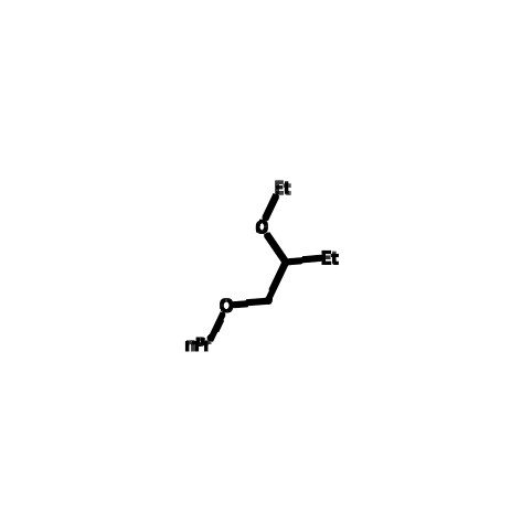 CCCOCC(CC)OCC